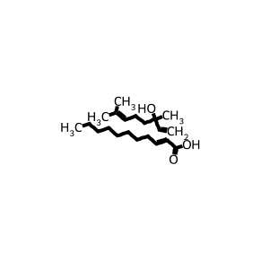 C=CC(C)(O)CCC=C(C)C.CCCCCCCCC=CC(=O)O